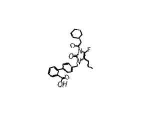 CCCc1c(F)n(C(=O)CC2CCCCC2)c(=O)n1Cc1ccc(-c2ccccc2C(=O)O)cc1